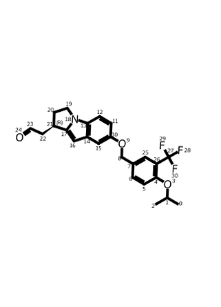 CC(C)Oc1ccc(COc2ccc3c(c2)cc2n3CC[C@@H]2CC=O)cc1C(F)(F)F